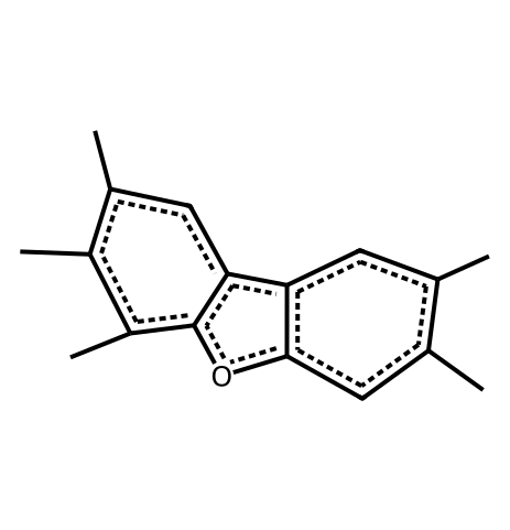 Cc1cc2oc3c(C)c(C)c(C)cc3c2cc1C